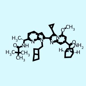 COc1cc(C(=O)N2[C@H]3CC[C@@H]2[C@H](N)C3)cc2nc(-c3cc4ccc([C@@H](C)NC(=O)C(C)(C)C)nc4n3CC3CC4CCC43)c(C3CC3)n12